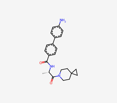 C[C@H](NC(=O)c1ccc(-c2ccc(N)cc2)cc1)C(=O)N1CCC2(CC1)CC2